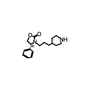 O=C1OC[C@@H](c2ccccc2)N1CCCC1CCNCC1